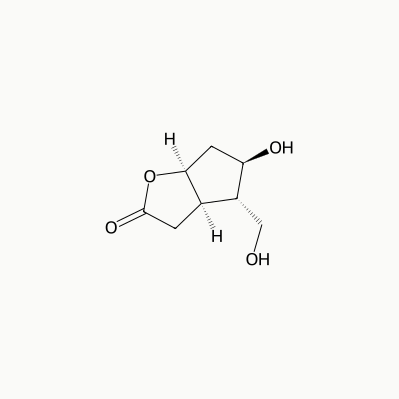 O=C1C[C@@H]2[C@@H](CO)[C@H](O)C[C@@H]2O1